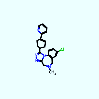 CN1Cc2cc(Cl)ccc2-n2c(nnc2C2CC=C(c3ccccn3)CC2)C1